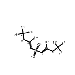 O=S(=O)(C=C(F)CC(F)(F)F)C=C(F)CC(F)(F)F